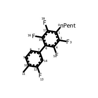 CCCCCc1c(F)c(F)c(-c2ccc(C)c(F)c2)c(F)c1F